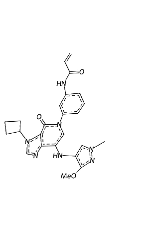 C=CC(=O)Nc1cccc(-n2cc(Nc3cn(C)nc3OC)c3ncn(C4CCC4)c3c2=O)c1